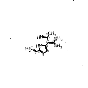 C=Cc1ccc(C(C(C)=N)=C(N)N)[nH]1